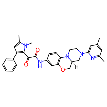 Cc1cc(C)nc(N2CCN3c4ccc(NC(=O)C(=O)c5c(-c6ccccc6)cc(C)n5C)cc4OC[C@@H]3C2)c1